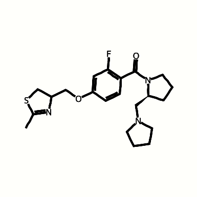 CC1=NC(COc2ccc(C(=O)N3CCC[C@H]3CN3CCCC3)c(F)c2)CS1